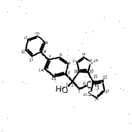 CCC(O)(c1ccc(-c2ccccc2)cc1)c1ccsc1-c1cccs1